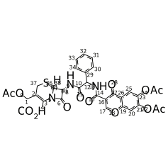 CC(=O)OCC1=C(C(=O)O)N2C(=O)[C@@H](NC(=O)C(NC(=O)c3coc4cc(OC(C)=O)c(OC(C)=O)cc4c3=O)c3ccccc3)[C@@H]2SC1